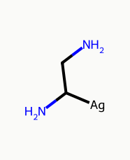 NC[CH](N)[Ag]